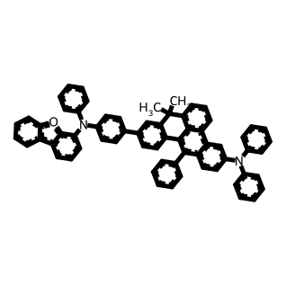 CC1(C)c2cc(-c3ccc(N(c4ccccc4)c4cccc5c4oc4ccccc45)cc3)ccc2-c2c(-c3ccccc3)c3ccc(N(c4ccccc4)c4ccccc4)cc3c3cccc1c23